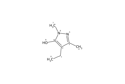 CCc1c(C)nn(C)c1O